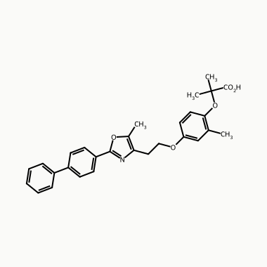 Cc1cc(OCCc2nc(-c3ccc(-c4ccccc4)cc3)oc2C)ccc1OC(C)(C)C(=O)O